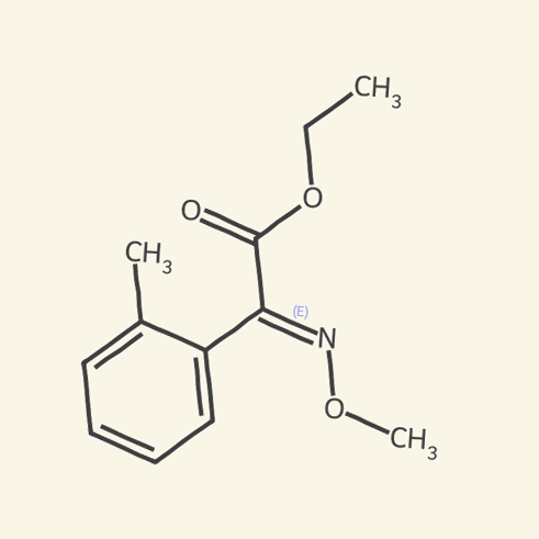 CCOC(=O)/C(=N/OC)c1ccccc1C